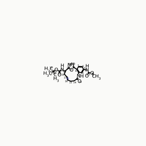 COC(=O)Nc1ccc2c(c1)NC(=O)CC/C=C/C[C@H](NC(=O)OC(C)(C)C)c1nnc-2o1